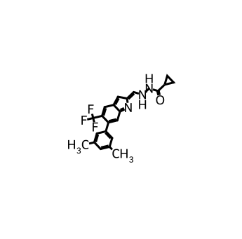 Cc1cc(C)cc(-c2cc3c(cc2C(F)(F)F)=CC(=CNNC(=O)C2CC2)N=3)c1